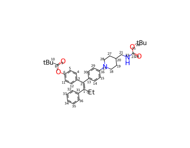 CCC(=C(c1ccc(OC(=O)C(C)(C)C)cc1)c1ccc(N2CCC(CNC(=O)OC(C)(C)C)CC2)cc1)c1ccccc1